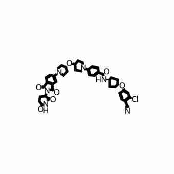 N#Cc1ccc(O[C@H]2CC[C@H](NC(=O)c3ccc(N4CCC(OC5CCN(c6ccc7c(c6)C(=O)N(C6CCC(=O)NC6=O)C7=O)CC5)CC4)cc3)CC2)cc1Cl